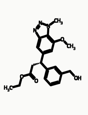 CCOC(=O)C[C@@H](c1cccc(CO)c1)c1cc(OC)c2c(c1)nnn2C